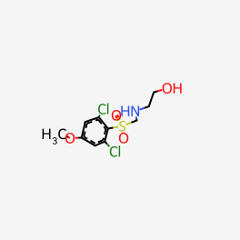 COc1cc(Cl)c(S(=O)(=O)CNCCO)c(Cl)c1